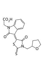 O=C(O)CN1C(=O)/C(=C2\SC(=S)N(CC3CCCO3)C2=O)c2ccccc21